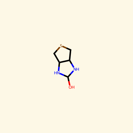 OC1NC2CSCC2N1